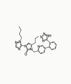 CCCCn1ncnc1-n1cc(CCC)n(Cc2ccc(-c3ccccc3-c3nnn[nH]3)cn2)c1=O